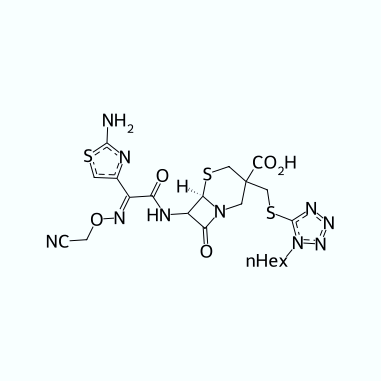 CCCCCCn1nnnc1SCC1(C(=O)O)CS[C@@H]2C(NC(=O)C(=NOCC#N)c3csc(N)n3)C(=O)N2C1